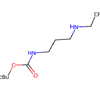 CC(C)(C)OC(=O)NCCCNCC(F)(F)F